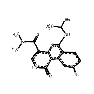 CC(Nc1nc2c(C(=O)N(C)C)c[nH]c(=O)c2c2cc(Br)ccc12)C(C)(C)C